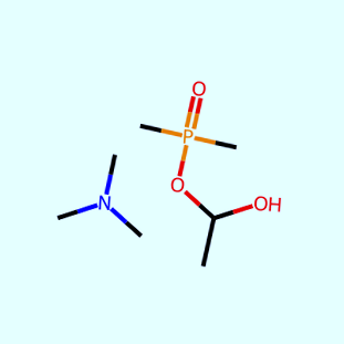 CC(O)OP(C)(C)=O.CN(C)C